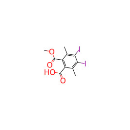 COC(=O)c1c(C)c(I)c(I)c(C)c1C(=O)O